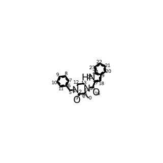 C[C@H]1C(=O)N(Cc2ccccc2)CCN1C(=O)c1cc2ccccc2[nH]1